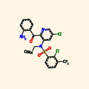 COCN(c1cc(Cl)cnc1C(=O)c1ccccc1N)S(=O)(=O)c1cccc(C(F)(F)F)c1Cl